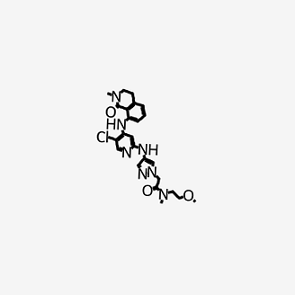 COCCN(C)C(=O)Cn1cc(Nc2cc(Nc3cccc4c3C(=O)N(C)CC4)c(Cl)cn2)cn1